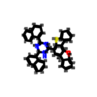 c1ccc2c(C3=NC(c4cccc5ccccc45)NC(c4cc5c6ccccc6oc5c5c4sc4ccccc45)=N3)cccc2c1